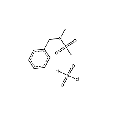 CN(Cc1ccccc1)S(C)(=O)=O.O=S(=O)(Cl)Cl